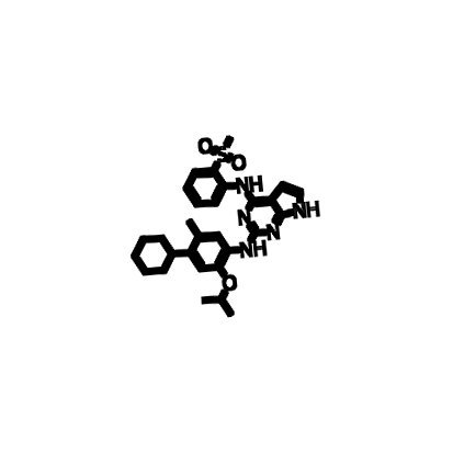 Cc1cc(Nc2nc(Nc3ccccc3S(C)(=O)=O)c3cc[nH]c3n2)c(OC(C)C)cc1C1CCCCC1